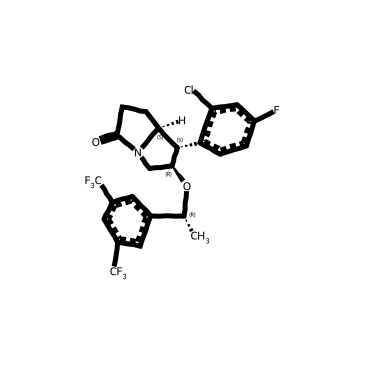 C[C@@H](O[C@H]1CN2C(=O)CC[C@H]2[C@@H]1c1ccc(F)cc1Cl)c1cc(C(F)(F)F)cc(C(F)(F)F)c1